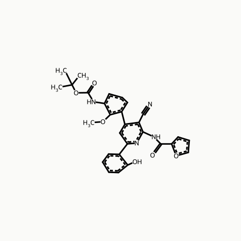 COc1c(NC(=O)OC(C)(C)C)cccc1-c1cc(-c2ccccc2O)nc(NC(=O)c2ccco2)c1C#N